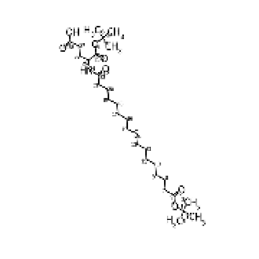 CC(C)(C)OC(=O)CCCCCCCSCCCCCCCC(=O)NC(CCC(=O)O)C(=O)OC(C)(C)C